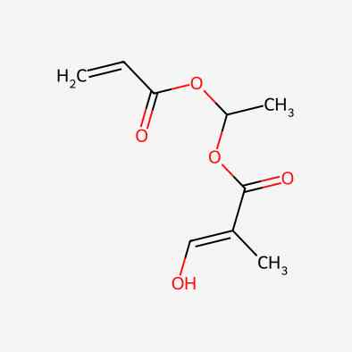 C=CC(=O)OC(C)OC(=O)C(C)=CO